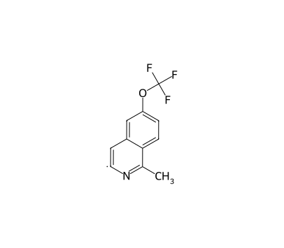 Cc1n[c]cc2cc(OC(F)(F)F)ccc12